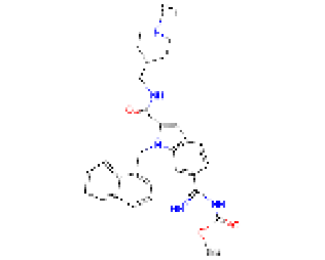 CN1CCC(CNC(=O)c2cc3ccc(C(=N)NC(=O)OC(C)(C)C)cc3n2Cc2cccc3ccccc23)CC1